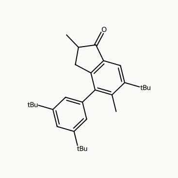 Cc1c(C(C)(C)C)cc2c(c1-c1cc(C(C)(C)C)cc(C(C)(C)C)c1)CC(C)C2=O